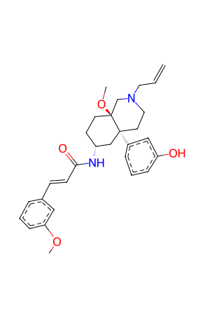 C=CCN1CC[C@@]2(c3cccc(O)c3)C[C@H](NC(=O)C=Cc3cccc(OC)c3)CC[C@]2(OC)C1